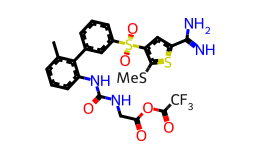 CSc1sc(C(=N)N)cc1S(=O)(=O)c1cccc(-c2c(C)cccc2NC(=O)NCC(=O)OC(=O)C(F)(F)F)c1